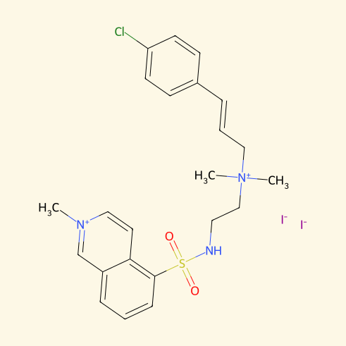 C[n+]1ccc2c(S(=O)(=O)NCC[N+](C)(C)CC=Cc3ccc(Cl)cc3)cccc2c1.[I-].[I-]